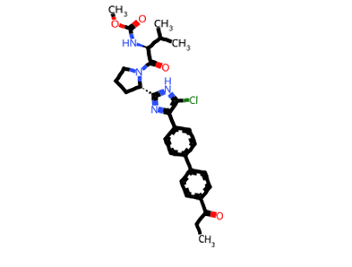 CCC(=O)c1ccc(-c2ccc(-c3nc([C@@H]4CCCN4C(=O)[C@@H](NC(=O)OC)C(C)C)[nH]c3Cl)cc2)cc1